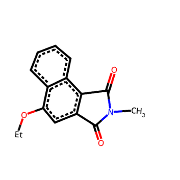 CCOc1cc2c(c3ccccc13)C(=O)N(C)C2=O